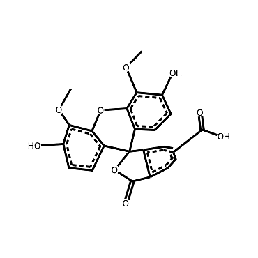 COc1c(O)ccc2c1Oc1c(ccc(O)c1OC)C21OC(=O)c2ccc(C(=O)O)cc21